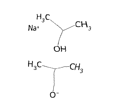 CC(C)O.CC(C)[O-].[Na+]